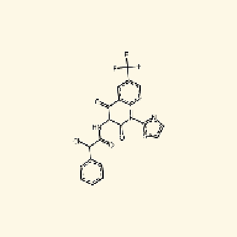 O=C(Nc1nccs1)C(NC(=O)C(Cl)c1ccccc1)C(=O)c1cccc(C(F)(F)F)c1